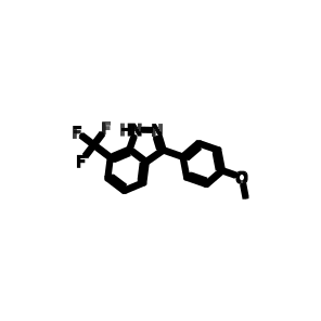 COc1ccc(-c2n[nH]c3c(C(F)(F)F)cccc23)cc1